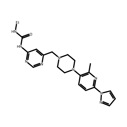 CCNC(=O)Nc1cc(CN2CCN(c3ccc(-n4cccn4)nc3C)CC2)ncn1